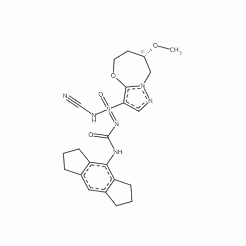 CO[C@H]1CCOc2c(S(=O)(=NC(=O)Nc3c4c(cc5c3CCC5)CCC4)NC#N)cnn2C1